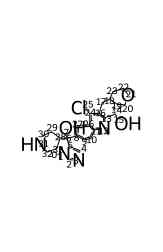 Cn1cncc1C(O)(c1ccc2nc(CO)c(CC3CCOCC3)c(Cl)c2c1)C1CCNCC1